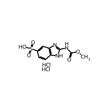 COC(=O)Nc1nc2cc(S(=O)(=O)O)ccc2[nH]1.Cl.Cl